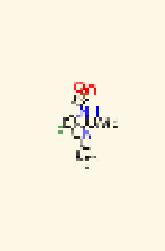 COc1nc(-c2ccc(C)c(C)c2)cc2c(F)ccc(N[C@@H]3C=CS(=O)(=O)C3)c12